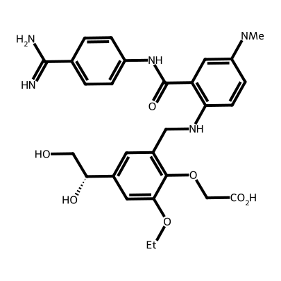 CCOc1cc([C@H](O)CO)cc(CNc2ccc(NC)cc2C(=O)Nc2ccc(C(=N)N)cc2)c1OCC(=O)O